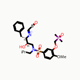 COc1ccc(S(=O)(=O)N(CC(C)C)C[C@@H](O)[C@H](Cc2ccccc2)/N=C/B=O)cc1OCP(C)(C)=O